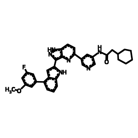 COc1cc(F)cc(-c2cccc3[nH]c(-c4n[nH]c5ccc(-c6cncc(NC(=O)CC7CCCCC7)c6)nc45)cc23)c1